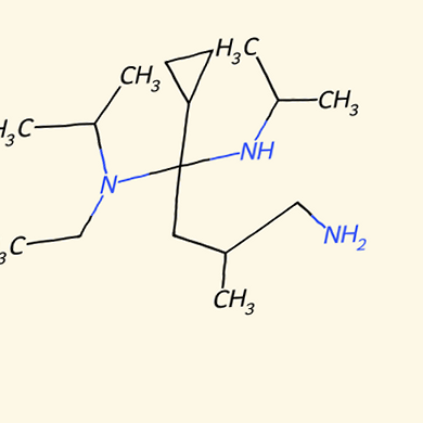 CCN(C(C)C)C(CC(C)CN)(NC(C)C)C1CC1